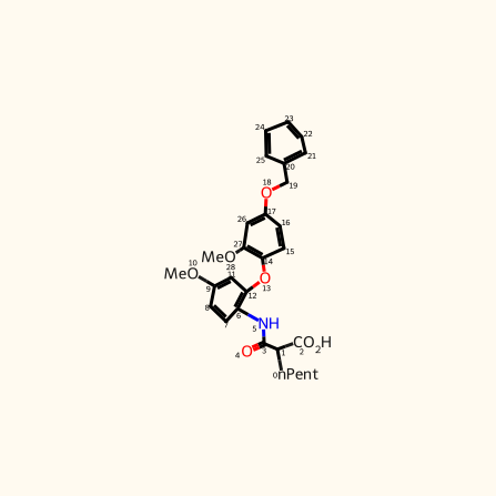 CCCCCC(C(=O)O)C(=O)Nc1ccc(OC)cc1Oc1ccc(OCc2ccccc2)cc1OC